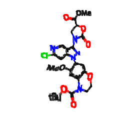 COC(=O)C1CN(c2nn(-c3cc4c(cc3OC)N(C(=O)OC(C)(C)C)CCO4)c3cc(Cl)ncc23)C(=O)O1